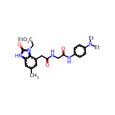 CCOC(=O)Cn1c(=O)[nH]c2cc(C)cc(CC(=O)NCC(=O)Nc3ccc(N(CC)CC)cc3)c21